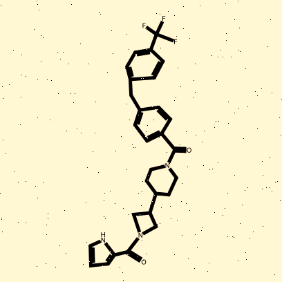 O=C(c1ccc(Cc2ccc(C(F)(F)F)cc2)cc1)N1CCC(C2CN(C(=O)c3ccc[nH]3)C2)CC1